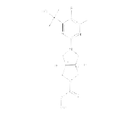 Cc1nc(N2C[C@H]3CN(C(=O)OC(C)(C)C)C[C@H]3C2)nc(C(C)(C)O)c1F